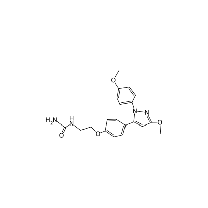 COc1ccc(-n2nc(OC)cc2-c2ccc(OCCNC(N)=O)cc2)cc1